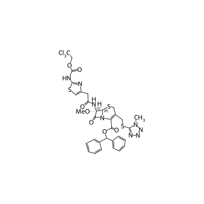 CO[C@@]1(NC(=O)Cc2csc(NC(=O)OCC(Cl)(Cl)Cl)n2)C(=O)N2C(C(=O)OC(c3ccccc3)c3ccccc3)=C(CSc3nnnn3C)CS[C@@H]21